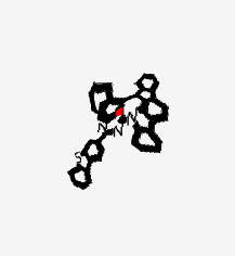 c1ccc(-c2nc(-c3ccc4c(c3)sc3ccccc34)nc(-n3c4ccccc4c4ccc5c(c43)C(c3ccccc3)c3ccccc3-5)n2)cc1